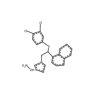 Clc1ccc(SC(Cn2ccnc2)c2cccc3ccccc23)cc1Cl.O=[N+]([O-])O